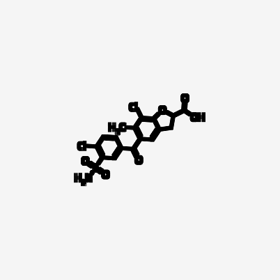 Cc1c(C(=O)c2ccc(Cl)c(S(N)(=O)=O)c2)cc2c(c1Cl)OC(C(=O)O)C2